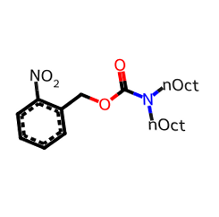 CCCCCCCCN(CCCCCCCC)C(=O)OCc1ccccc1[N+](=O)[O-]